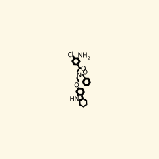 Nc1cc(C(=O)CN(CCOc2ccc3c4c([nH]c3c2)CCCC4)C(=O)c2ccccc2)ccc1Cl